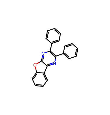 c1ccc(-c2nc3oc4ccccc4c3nc2-c2ccccc2)cc1